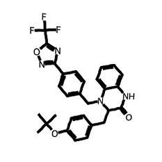 CC(C)(C)Oc1ccc(CC2C(=O)Nc3ccccc3N2Cc2ccc(-c3noc(C(F)(F)F)n3)cc2)cc1